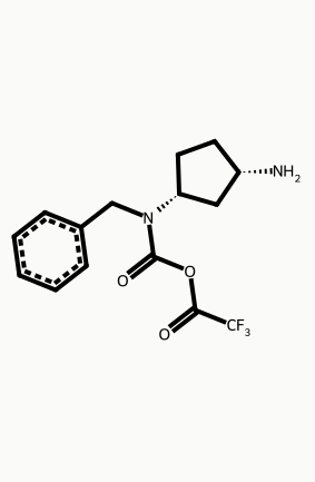 N[C@H]1CC[C@@H](N(Cc2ccccc2)C(=O)OC(=O)C(F)(F)F)C1